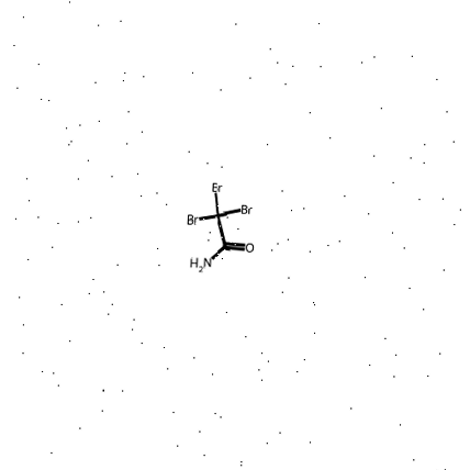 NC(=O)C(Br)(Br)Br